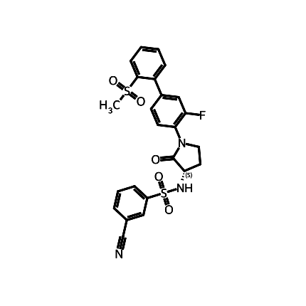 CS(=O)(=O)c1ccccc1-c1ccc(N2CC[C@H](NS(=O)(=O)c3cccc(C#N)c3)C2=O)c(F)c1